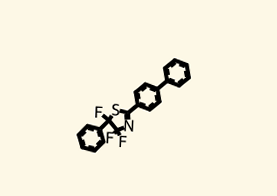 FC1(F)N=C(c2ccc(-c3ccccc3)cc2)SC1(F)c1ccccc1